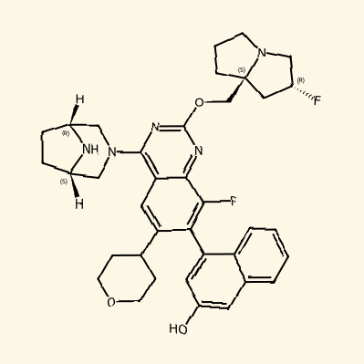 Oc1cc(-c2c(C3CCOCC3)cc3c(N4C[C@H]5CC[C@@H](C4)N5)nc(OC[C@@]45CCCN4C[C@H](F)C5)nc3c2F)c2ccccc2c1